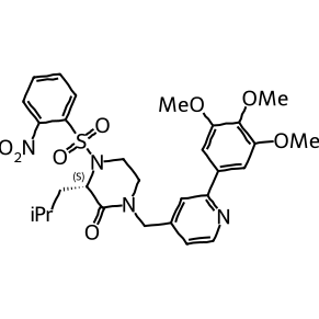 COc1cc(-c2cc(CN3CCN(S(=O)(=O)c4ccccc4[N+](=O)[O-])[C@@H](CC(C)C)C3=O)ccn2)cc(OC)c1OC